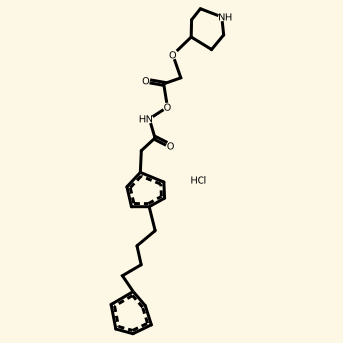 Cl.O=C(Cc1ccc(CCCCc2ccccc2)cc1)NOC(=O)COC1CCNCC1